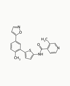 Cc1cnccc1C(=O)Nc1ccc(-c2cc(-c3ccno3)ccc2C)s1